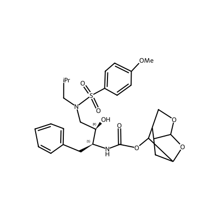 COc1ccc(S(=O)(=O)N(CC(C)C)C[C@@H](O)[C@H](Cc2ccccc2)NC(=O)OC2C3CC4C(OCC42)O3)cc1